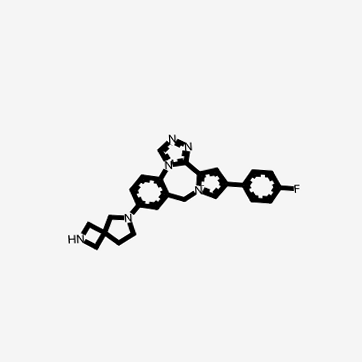 Fc1ccc(-c2cc3n(c2)Cc2cc(N4CCC5(CNC5)C4)ccc2-n2cnnc2-3)cc1